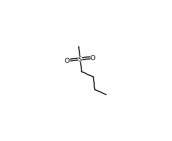 CCCCS(C)(=O)=O